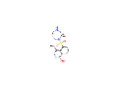 CCc1cnc(O)c2cccc(S(=O)(=O)N3CCCNC[C@H]3C)c12